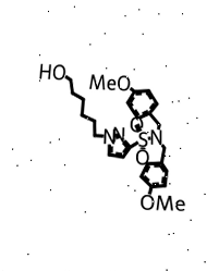 COc1ccc(CN(Cc2ccc(OC)cc2)S(=O)(=O)c2ccn(CCCCCCO)n2)cc1